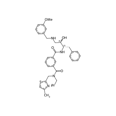 COc1cccc(CNC[C@@H](O)[C@H](Cc2ccccc2)NC(=O)c2cccc(C(=O)N(Cc3nc(C)cs3)CC(C)C)c2)c1